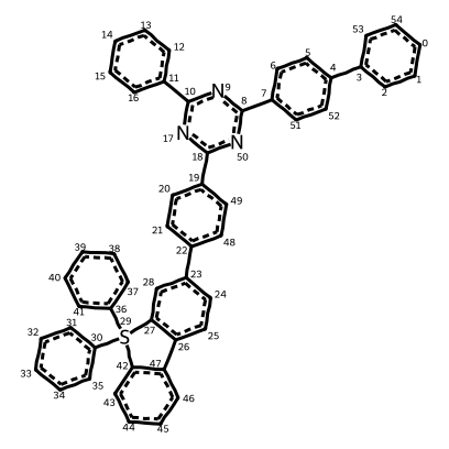 c1ccc(-c2ccc(-c3nc(-c4ccccc4)nc(-c4ccc(-c5ccc6c(c5)S(c5ccccc5)(c5ccccc5)c5ccccc5-6)cc4)n3)cc2)cc1